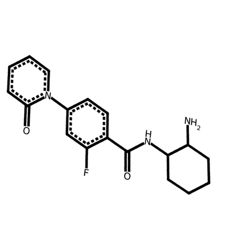 NC1CCCCC1NC(=O)c1ccc(-n2ccccc2=O)cc1F